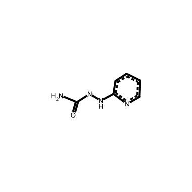 NC(=O)[N]Nc1ccccn1